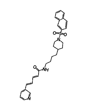 O=C(C=CC=Cc1cccnc1)NCCCCC1CCN(S(=O)(=O)c2ccc3ccccc3c2)CC1